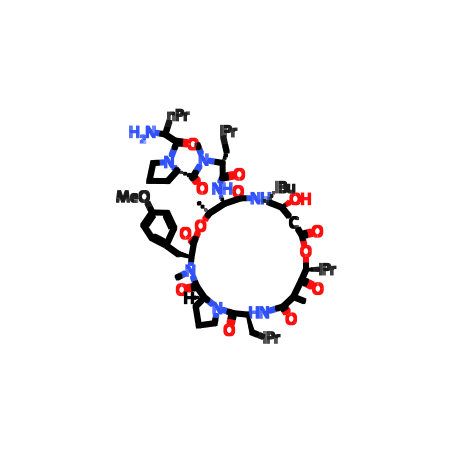 CCCC(N)C(=O)N1CCC[C@H]1C(=O)N(C)[C@H](CC(C)C)C(=O)N[C@@H]1C(=O)N[C@H]([C@@H](C)CC)[C@@H](O)CC(=O)O[C@@H](C(C)C)C(=O)C(C)C(=O)N[C@@H](CC(C)C)C(=O)N2CCC[C@H]2C(=O)N(C)[C@@H](Cc2ccc(OC)cc2)C(=O)O[C@@H]1C